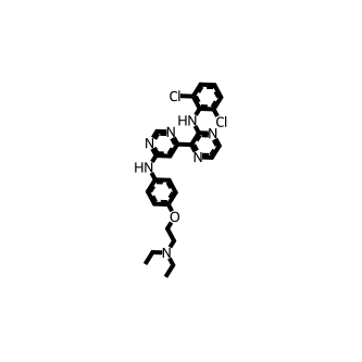 CCN(CC)CCOc1ccc(Nc2cc(-c3nccnc3Nc3c(Cl)cccc3Cl)ncn2)cc1